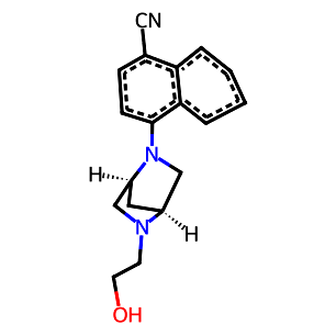 N#Cc1ccc(N2C[C@@H]3C[C@H]2CN3CCO)c2ccccc12